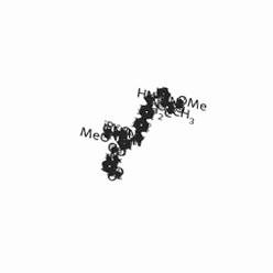 C=C(C)[C@H](NC(=O)OC)C(=O)N1CCC[C@H]1c1nc(-c2ccc(-c3ccc(-c4cnc([C@H]5C[C@H](OC(=O)N6Cc7ccc8c(c7C6)OCO8)CN5C(=O)[C@@H](NC(=O)OC)C(C)C)[nH]4)cc3)cc2)c[nH]1